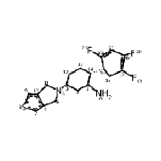 NC1C[C@@H](N2Cc3cscc3C2)CC[C@@H]1C1CC(F)=C(F)C=C1F